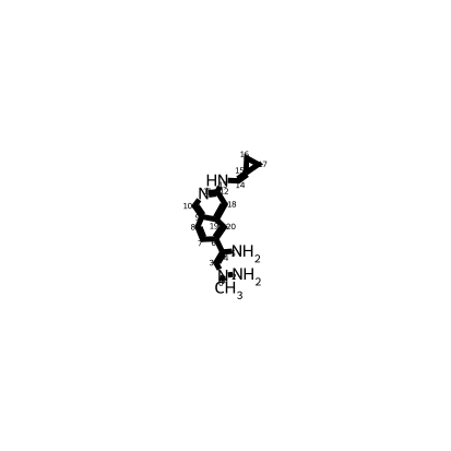 CN(N)/C=C(\N)c1ccc2cnc(NC=C3CC3)cc2c1